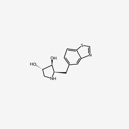 O[C@@H]1[C@@H](O)CN[C@@H]1Cc1ccc2scnc2c1